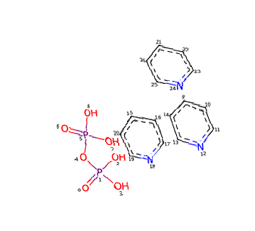 O=P(O)(O)OP(=O)(O)O.c1ccncc1.c1ccncc1.c1ccncc1